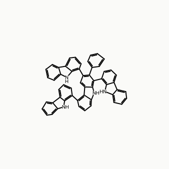 c1ccc(-c2c(-c3cccc4c3[nH]c3ccccc34)cc3c([nH]c4cccc(-c5cccc6c5[nH]c5ccccc56)c43)c2-c2cccc3c2[nH]c2ccccc23)cc1